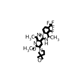 COc1nc2c(C)nnc(N[C@H](C)c3cccc(C(F)(F)F)c3F)c2cc1N1CCC2(COC2)C1